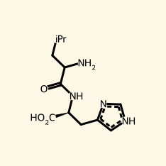 CC(C)CC(N)C(=O)N[C@@H](Cc1c[nH]cn1)C(=O)O